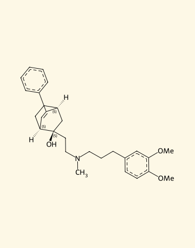 COc1ccc(CCCN(C)CC[C@@]2(O)C[C@@H]3CC[C@H]2C=C3c2ccccc2)cc1OC